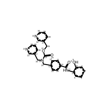 O=C(Nc1ccccc1O)c1ccc(CN(Cc2cccnc2)C(=O)OCc2cccnc2)cc1